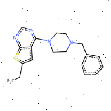 FC(F)(F)Cc1cc2c(N3CCN(Cc4ccccc4)CC3)ncnc2s1